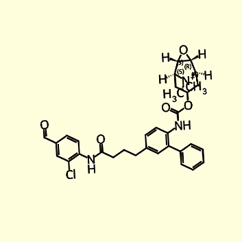 C[N+]1(C)[C@@H]2CC(OC(=O)Nc3ccc(CCCC(=O)Nc4ccc(C=O)cc4Cl)cc3-c3ccccc3)C[C@H]1[C@@H]1O[C@@H]12